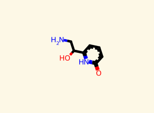 NCC(O)c1cccc(=O)[nH]1